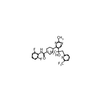 Cc1ncc(C(C)(O)Cc2cccc(C(F)(F)F)n2)c(C2CCN(C(=O)Nc3c(F)cccc3F)CC2)n1